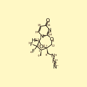 C[C@H]1C(F)(F)[C@H]2O[C@]1(CN=[N+]=[N-])COc1nc(=O)ccn12